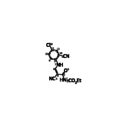 CCOC(=O)NC(=O)/C(C#N)=C\Nc1ccc(Cl)cc1C#N